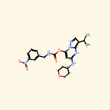 CC(C)c1cnn2c(OC(=O)NCc3cccc([N+](=O)[O-])c3)cc(NC3CCOCC3)nc12